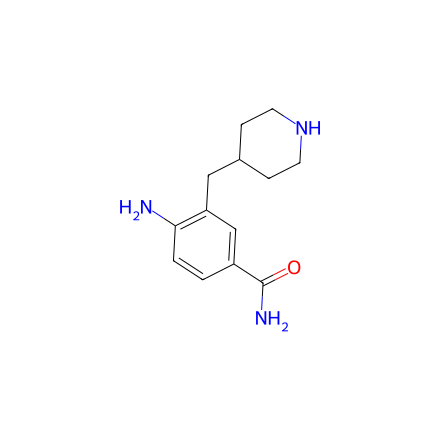 NC(=O)c1ccc(N)c(CC2CCNCC2)c1